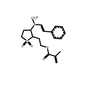 C=C(C)C(=O)OCCC1C(N(C=Cc2ccccc2)C(=O)O)CCS1(=O)=O